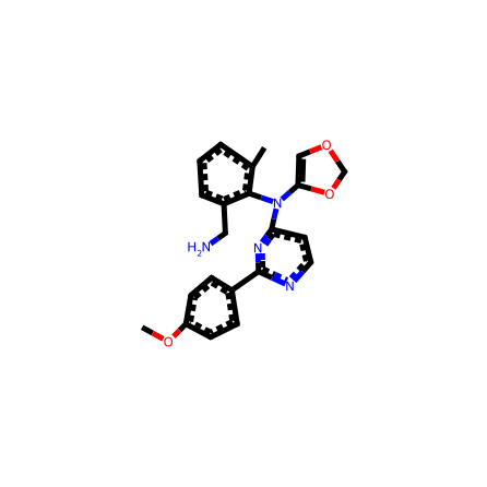 COc1ccc(-c2nccc(N(C3=COCO3)c3c(C)cccc3CN)n2)cc1